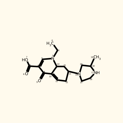 CCN1C=C(C(=O)O)C(=O)C2=CCC(N3CCNC(C)C3)CC21